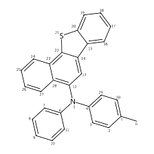 Cc1ccc(N(c2ccccc2)c2cc3c4ccccc4sc3c3ccccc23)cc1